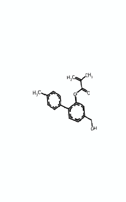 C=C(C)C(=O)Oc1cc(CO)ccc1-c1ccc(C)cc1